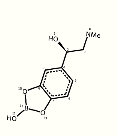 CNC[C@H](O)c1ccc2c(c1)OB(O)O2